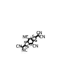 [C-]#[N+]C([N+]#[C-])=C1Sc2c(C#N)c3c(c(C#N)c2S1)SC(=C(C#N)C#N)S3